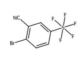 N#Cc1cc(S(F)(F)(F)(F)F)ccc1Br